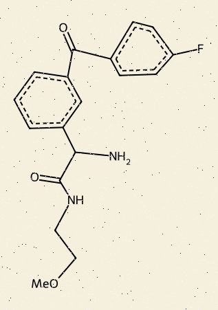 COCCNC(=O)C(N)c1cccc(C(=O)c2ccc(F)cc2)c1